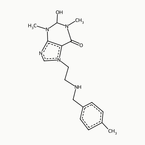 Cc1ccc(CNCCn2cnc3c2C(=O)N(C)C(O)N3C)cc1